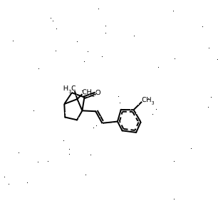 Cc1cccc(C=CC23CCC(CC2=O)C3(C)C)c1